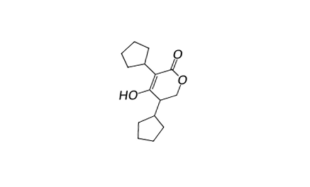 O=C1OCC(C2CCCC2)C(O)=C1C1CCCC1